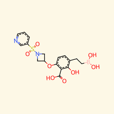 O=C(O)c1c(OC2CN(S(=O)(=O)c3cccnc3)C2)ccc(CCB(O)O)c1O